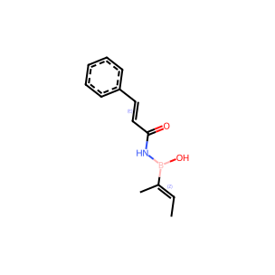 C/C=C(\C)B(O)NC(=O)/C=C/c1ccccc1